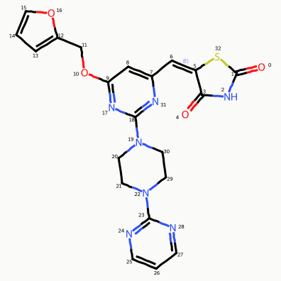 O=C1NC(=O)/C(=C\c2cc(OCc3ccco3)nc(N3CCN(c4ncccn4)CC3)n2)S1